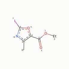 CCOC(=O)c1oc(I)nc1C